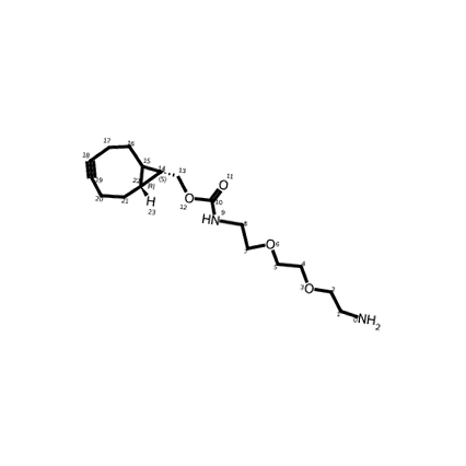 NCCOCCOCCNC(=O)OC[C@H]1C2CCC#CCC[C@H]21